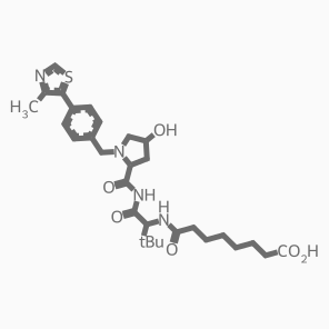 Cc1ncsc1-c1ccc(CN2CC(O)CC2C(=O)NC(=O)C(NC(=O)CCCCCCC(=O)O)C(C)(C)C)cc1